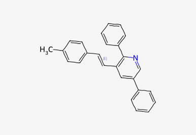 Cc1ccc(/C=C/c2cc(-c3ccccc3)cnc2-c2ccccc2)cc1